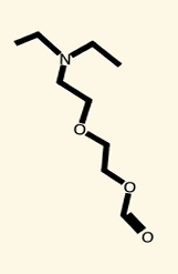 CCN(CC)CCOCCOC=O